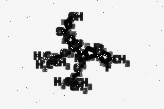 CCc1cc(C)c(F)cc1-c1ccc2c(-c3nc4c(n3COCC[Si](C)(C)C)CN(C(=O)C3CC(O)C3)C4)nn(COCC[Si](C)(C)C)c2c1